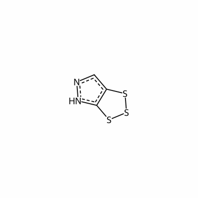 c1n[nH]c2c1SSS2